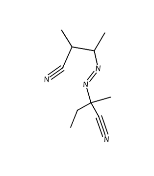 CCC(C)(C#N)N=NC(C)C(C)C#N